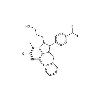 Cn1c2c(c(=O)[nH]c1=O)N(Cc1ccccc1)C(c1ccc(C(F)F)cc1)N2CCCO